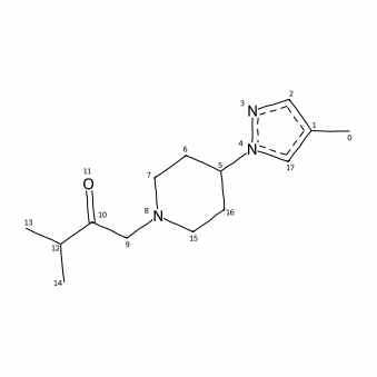 Cc1cnn(C2CCN(CC(=O)C(C)C)CC2)c1